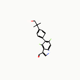 CC(C)(CO)c1ccc(-c2c(F)cc3[nH]cc(C=O)c3c2F)cc1